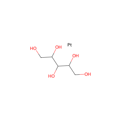 OCC(O)C(O)C(O)CO.[Pt]